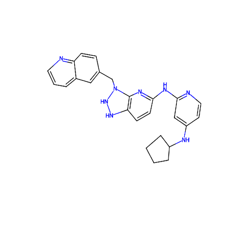 c1cnc2ccc(CN3NNc4ccc(Nc5cc(NC6CCCC6)ccn5)nc43)cc2c1